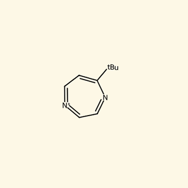 CC(C)(C)C1=CC=[N+]=CC=N1